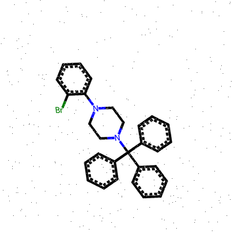 Brc1ccccc1N1CCN(C(c2ccccc2)(c2ccccc2)c2ccccc2)CC1